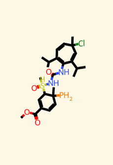 COC(=O)C1=CC([SH](C)(=O)NC(=O)NC2=C(C(C)C)C=CC(C)(Cl)C=C2C(C)C)C(C)(P)C=C1